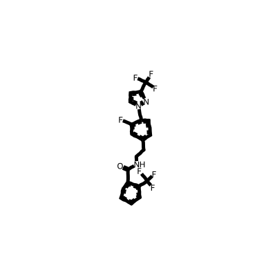 O=C(NCCc1ccc(-n2ccc(C(F)(F)F)n2)c(F)c1)c1ccccc1C(F)(F)F